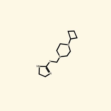 C1CC(N2CCN(CSC3=NCCN3)CC2)C1